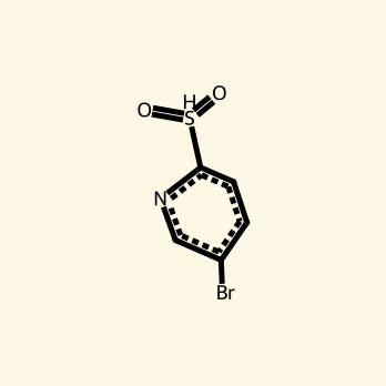 O=[SH](=O)c1ccc(Br)cn1